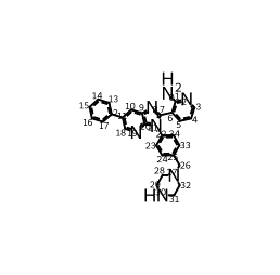 Nc1ncccc1-c1nc2cc(-c3ccccc3)cnc2n1-c1ccc(CN2CCNCC2)cc1